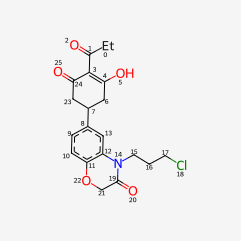 CCC(=O)C1=C(O)CC(c2ccc3c(c2)N(CCCCl)C(=O)CO3)CC1=O